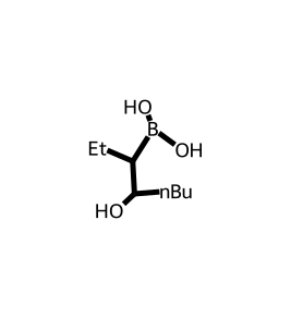 CCCCC(O)C(CC)B(O)O